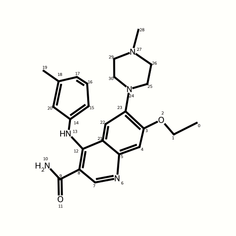 CCOc1cc2ncc(C(N)=O)c(Nc3cccc(C)c3)c2cc1N1CCN(C)CC1